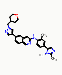 Cc1cc(-c2cnc(C)n2C)ccc1Nc1cc2cc(-c3cnn(CC4CCOCC4)c3)ccc2cn1